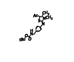 CC(=O)c1s/c(=N\c2ccc(CNC(=O)OC(C)(C)C)cc2)n(C)c1C